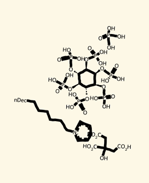 CCCCCCCCCCCCCCCC[n+]1ccccc1.O=C(O)CC(O)(CC(=O)O)C(=O)O.O=P(O)(O)O.O=P(O)(O)O[C@H]1[C@H](OP(=O)(O)O)[C@@H](OP(=O)(O)O)[C@H](OP(=O)(O)O)[C@@H](OP(=O)(O)O)[C@H]1OP(=O)(O)O